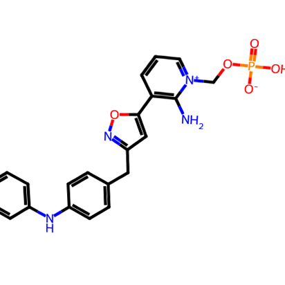 Nc1c(-c2cc(Cc3ccc(Nc4ccccc4)cc3)no2)ccc[n+]1COP(=O)([O-])O